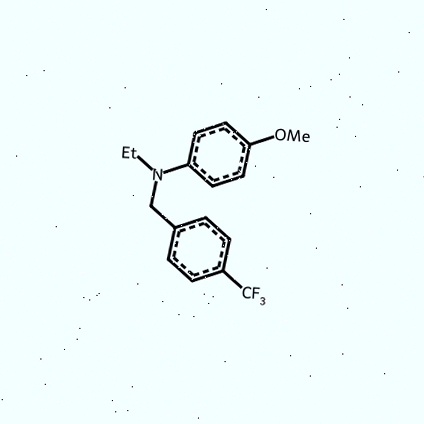 CCN(Cc1ccc(C(F)(F)F)cc1)c1ccc(OC)cc1